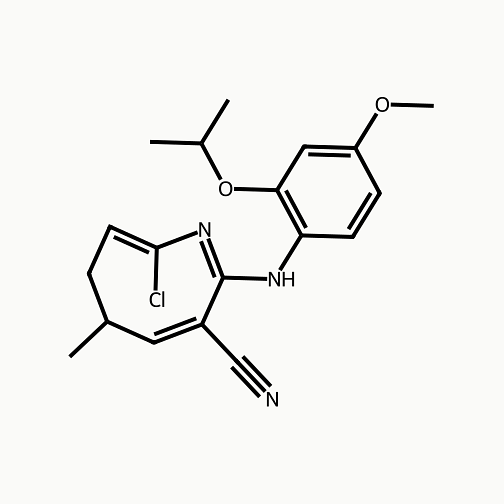 COc1ccc(NC2=N/C(Cl)=C/CC(C)/C=C\2C#N)c(OC(C)C)c1